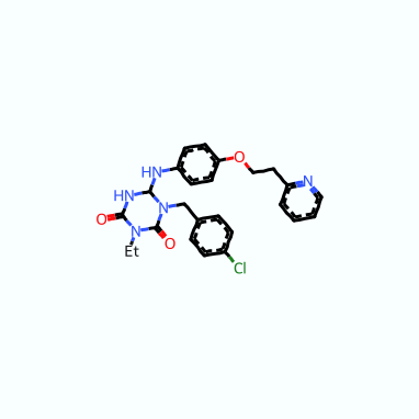 CCN1C(=O)NC(Nc2ccc(OCCc3ccccn3)cc2)N(Cc2ccc(Cl)cc2)C1=O